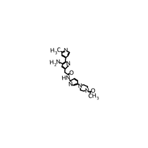 CC(=O)N1CCN(c2ccc(NC(=O)Cc3cnc(-c4ccnc(C)c4)c(N)c3)nc2)CC1